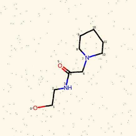 [O]CCNC(=O)CN1CCCCC1